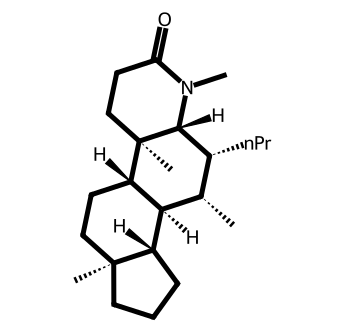 CCC[C@@H]1[C@H](C)[C@H]2[C@@H]3CCC[C@@]3(C)CC[C@@H]2[C@@]2(C)CCC(=O)N(C)[C@H]12